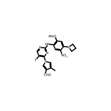 COc1cc(N2CCC2)c([N+](=O)[O-])cc1Nc1ncc(F)c(-n2cc(C)c(C=O)c2)n1